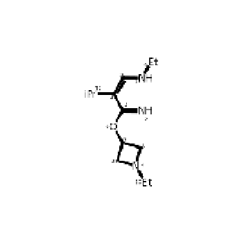 CCN/C=C(\C(=N)OC1CN(CC)C1)C(C)C